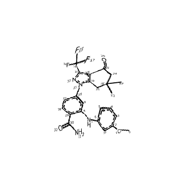 COc1cccc(Nc2cc(-n3nc(C(F)(F)F)c4c3CC(C)(C)CC4=O)ccc2C(N)=O)c1